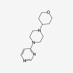 c1cc(N2CCN(C3CCOCC3)CC2)ncn1